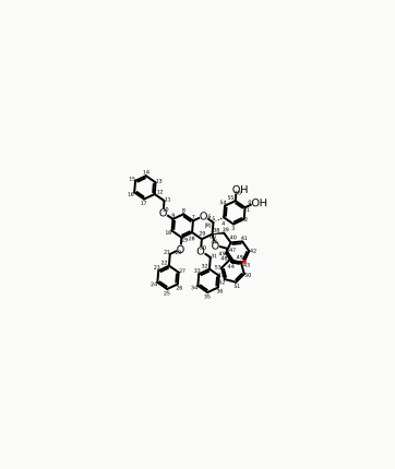 Oc1ccc([C@H]2Oc3cc(OCc4ccccc4)cc(OCc4ccccc4)c3C(OCc3ccccc3)[C@@]2(Cc2ccccc2)OCc2ccccc2)cc1O